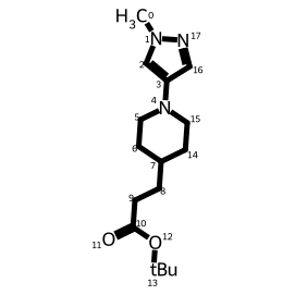 Cn1cc(N2CCC(CCC(=O)OC(C)(C)C)CC2)cn1